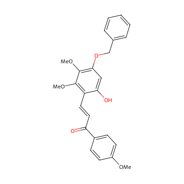 COc1ccc(C(=O)C=Cc2c(O)cc(OCc3ccccc3)c(OC)c2OC)cc1